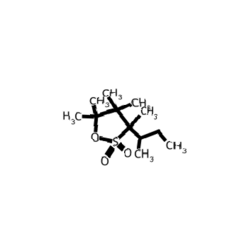 CCC(C)C1(C)C(C)(C)C(C)(C)OS1(=O)=O